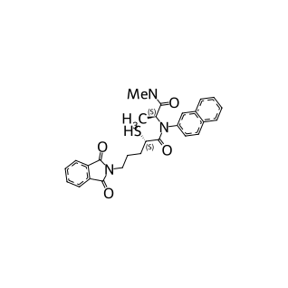 CNC(=O)[C@H](C)N(C(=O)[C@@H](S)CCCN1C(=O)c2ccccc2C1=O)c1ccc2ccccc2c1